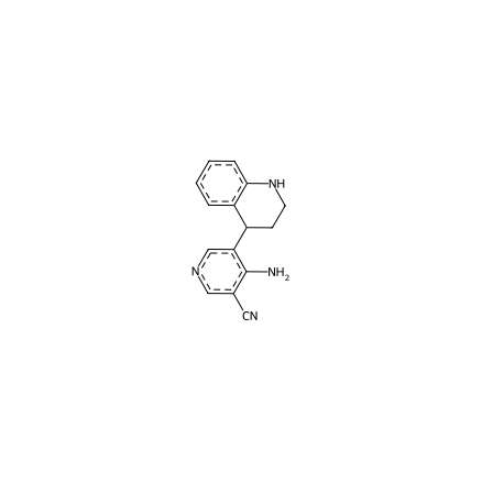 N#Cc1cncc(C2CCNc3ccccc32)c1N